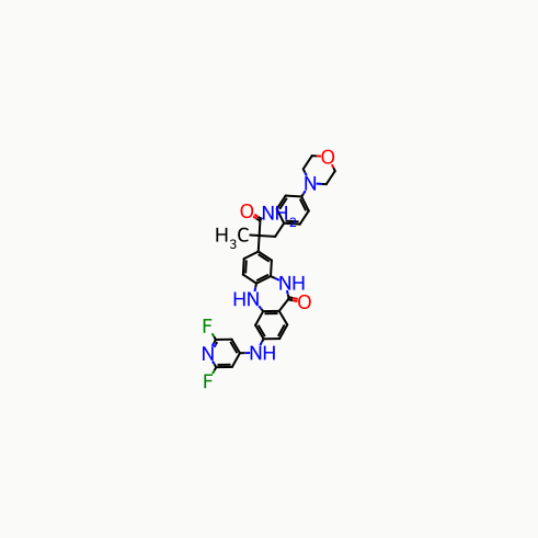 CC(Cc1ccc(N2CCOCC2)cc1)(C(N)=O)c1ccc2c(c1)NC(=O)c1ccc(Nc3cc(F)nc(F)c3)cc1N2